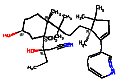 CC[C@@](O)(C#N)[C@@]1(C)C[C@@H](O)CC[C@]1(C)C(C)(C)CC[C@]1(C)C(c2cccnc2)=CCC1(C)C